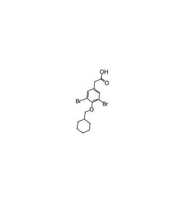 O=C(O)Cc1cc(Br)c(OCC2CCCCC2)c(Br)c1